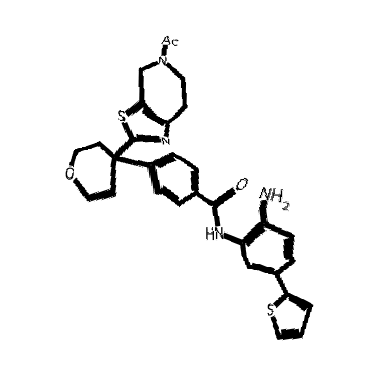 CC(=O)N1CCc2nc(C3(c4ccc(C(=O)Nc5cc(-c6cccs6)ccc5N)cc4)CCOCC3)sc2C1